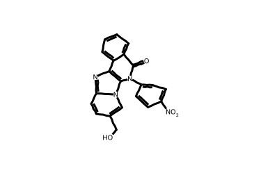 O=c1c2ccccc2c2nc3ccc(CO)cn3c2n1-c1ccc([N+](=O)[O-])cc1